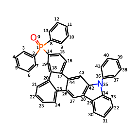 O=P(c1ccccc1)(c1ccccc1)c1ccc2c(c1)c1ccccc1c1cc3c4ccccc4n(-c4ccccc4)c3cc21